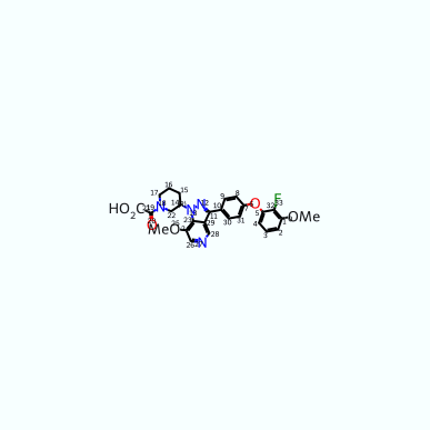 COc1cccc(Oc2ccc(-c3nn([C@@H]4CCCN(C(=O)C(=O)O)C4)c4c(OC)cncc34)cc2)c1F